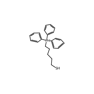 SCCCCC[PH](c1ccccc1)(c1ccccc1)c1ccccc1